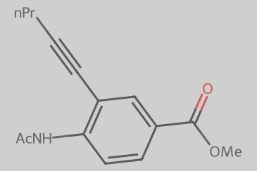 CCCC#Cc1cc(C(=O)OC)ccc1NC(C)=O